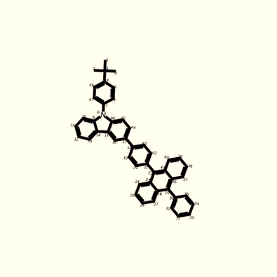 CC(C)(C)c1ccc(-n2c3ccccc3c3cc(-c4ccc(-c5c6ccccc6c(-c6ccccc6)c6ccccc56)cc4)ccc32)cc1